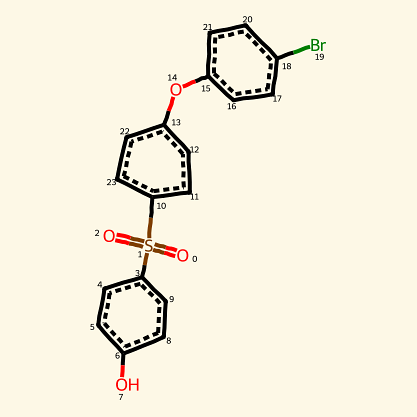 O=S(=O)(c1ccc(O)cc1)c1ccc(Oc2ccc(Br)cc2)cc1